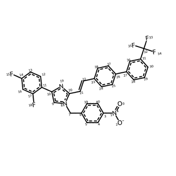 O=[N+]([O-])c1ccc(Cn2cc(-c3ccc(F)cc3F)nc2C=Cc2ccc(-c3cccc(C(F)(F)F)c3)cc2)cc1